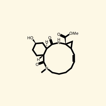 COC(=O)[C@@]12CC1/C=C\CCCCN(C)C(=O)[C@@H]1CC[C@@H](O)C[C@H]1C(=O)N2